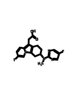 CN(c1ncc(F)cn1)C1CCc2c(CC(=O)O)c3ccc(F)cn3c2C1